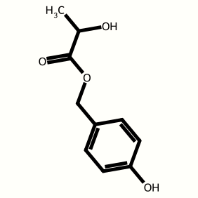 CC(O)C(=O)OCc1ccc(O)cc1